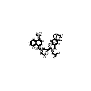 CC(C)CN(Cc1ccc2c(c1)OCCO2)C(=O)C1CN(Cc2ccc(N(C)C)c3ccccc23)CCO1